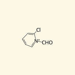 O=C[n+]1ccccc1Cl